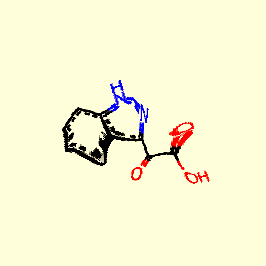 O=C(O)C(=O)c1n[nH]c2ccccc12